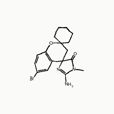 CN1C(=O)C2(CC3(CCCCC3)Oc3ccc(Br)cc32)N=C1N